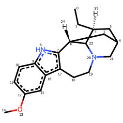 CC[C@H]1CC2C[C@H]3c4[nH]c5ccc(OC)cc5c4CCN(C2)C13